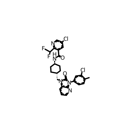 Cc1ccc(-n2c(=O)n(C[C@H]3CC[C@H](NC(=O)c4cc(Cl)cnc4C(F)F)CC3)c3cccnc32)cc1Cl